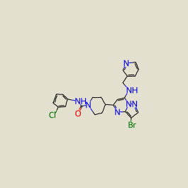 O=C(Nc1cccc(Cl)c1)N1CCC(c2cc(NCc3cccnc3)n3ncc(Br)c3n2)CC1